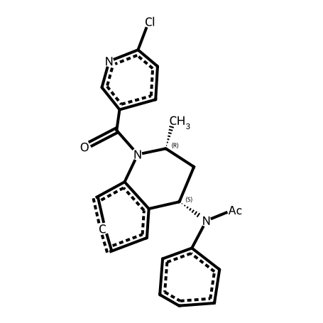 CC(=O)N(c1ccccc1)[C@H]1C[C@@H](C)N(C(=O)c2ccc(Cl)nc2)c2ccccc21